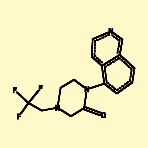 O=C1CN(CC(F)(F)F)CCN1c1cccc2cnccc12